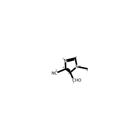 Cn1cnc(C#N)c1C=O